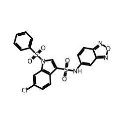 O=S(=O)(Nc1ccc2nonc2c1)c1cn(S(=O)(=O)c2ccccc2)c2cc(Cl)ccc12